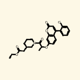 CCOC(=O)CC1CCCN(C(=O)C(C)Oc2ccc3c(-c4ccccc4Cl)cc(=O)oc3c2)C1